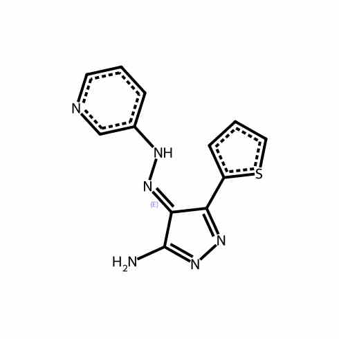 NC1=NN=C(c2cccs2)/C1=N\Nc1cccnc1